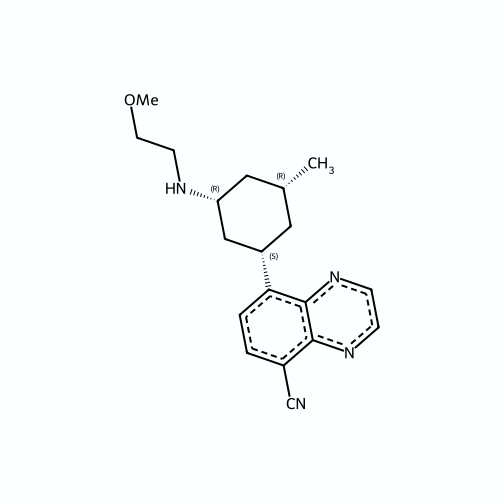 COCCN[C@@H]1C[C@H](C)C[C@H](c2ccc(C#N)c3nccnc23)C1